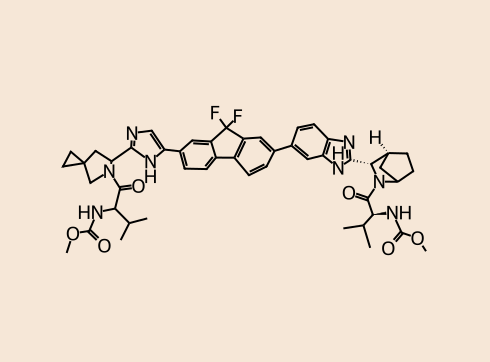 COC(=O)NC(C(=O)N1CC2(CC2)CC1c1ncc(-c2ccc3c(c2)C(F)(F)c2cc(-c4ccc5nc([C@@H]6[C@H]7CCC(C7)N6C(=O)[C@@H](NC(=O)OC)C(C)C)[nH]c5c4)ccc2-3)[nH]1)C(C)C